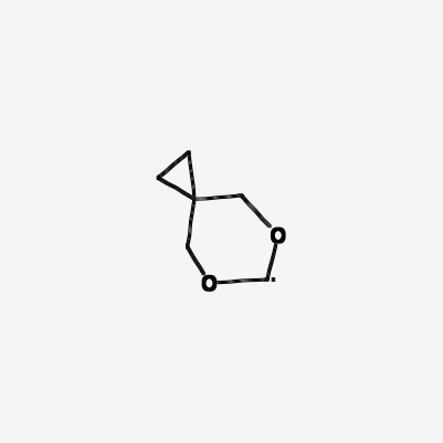 [CH]1OCC2(CC2)CO1